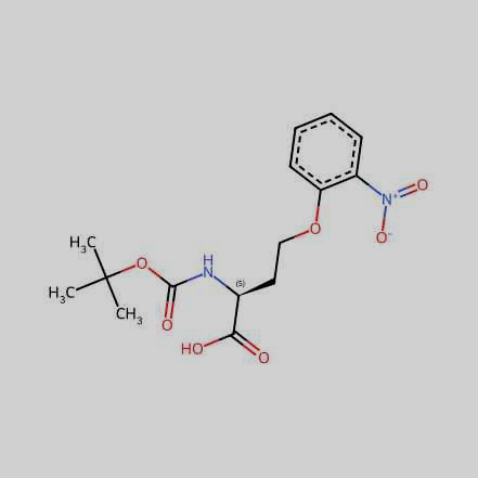 CC(C)(C)OC(=O)N[C@@H](CCOc1ccccc1[N+](=O)[O-])C(=O)O